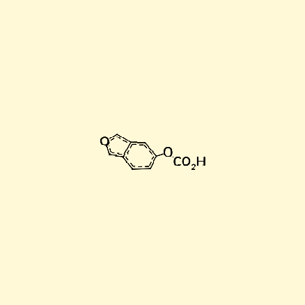 O=C(O)Oc1ccc2cocc2c1